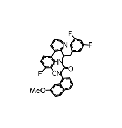 COc1ccc2cccc(CC(=O)NC(Cc3cc(F)cc(F)c3)c3ncccc3-c3ccc(F)c(C#N)c3)c2c1